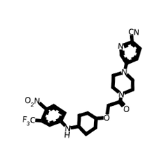 N#Cc1ccc(N2CCN(C(=O)COC3CCC(Nc4ccc([N+](=O)[O-])c(C(F)(F)F)c4)CC3)CC2)cn1